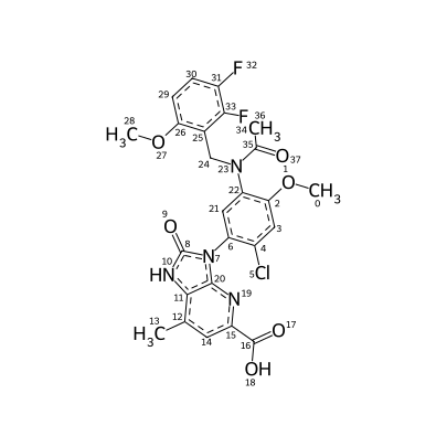 COc1cc(Cl)c(-n2c(=O)[nH]c3c(C)cc(C(=O)O)nc32)cc1N(Cc1c(OC)ccc(F)c1F)C(C)=O